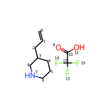 C=CCC1CCCNC1.O=C(O)C(F)(F)F